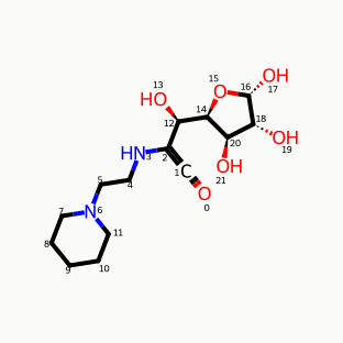 O=C=C(NCCN1CCCCC1)[C@@H](O)[C@H]1O[C@H](O)[C@H](O)[C@H]1O